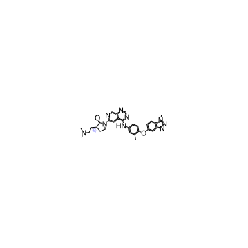 Cc1cc(Nc2ncnc3cnc(N4CC/C(=C\CN(C)C)C4=O)cc23)ccc1Oc1ccc2c(c1)nnn2C